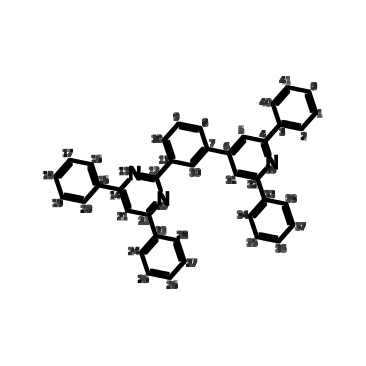 c1ccc(-c2cc(-c3cccc(-c4nc(-c5ccccc5)cc(-c5ccccc5)n4)c3)cc(-c3ccccc3)n2)cc1